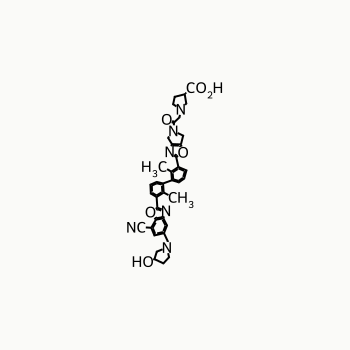 Cc1c(-c2nc3c(o2)CN(C(=O)CN2CC[C@@H](C(=O)O)C2)C3)cccc1-c1cccc(-c2nc3cc(CN4CC[C@@H](O)C4)cc(C#N)c3o2)c1C